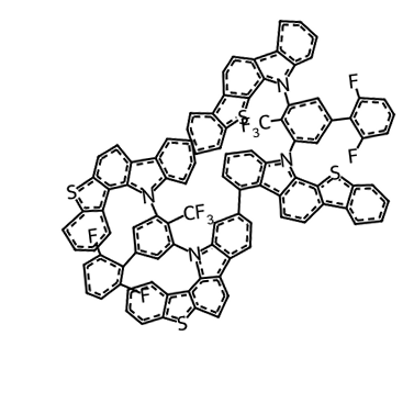 Fc1cccc(F)c1-c1cc(-n2c3ccccc3c3ccc4c5ccccc5sc4c32)c(C(F)(F)F)c(-n2c3cccc(-c4ccc5c6ccc7sc8ccccc8c7c6n(-c6cc(-c7c(F)cccc7F)cc(-n7c8ccccc8c8ccc9sc%10ccccc%10c9c87)c6C(F)(F)F)c5c4)c3c3ccc4c5ccccc5sc4c32)c1